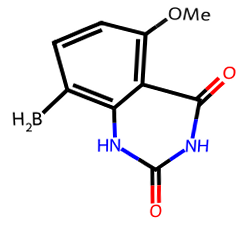 Bc1ccc(OC)c2c(=O)[nH]c(=O)[nH]c12